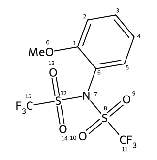 COc1ccccc1N(S(=O)(=O)C(F)(F)F)S(=O)(=O)C(F)(F)F